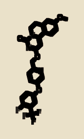 COc1ccc2c(c1)CCn1c-2cc(OCc2ccc(Oc3ccc(F)c(C(F)(F)F)c3)cn2)nc1=O